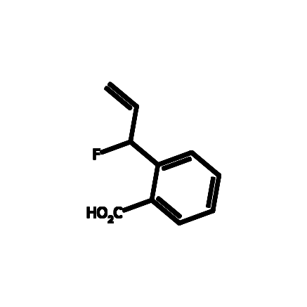 C=CC(F)c1ccccc1C(=O)O